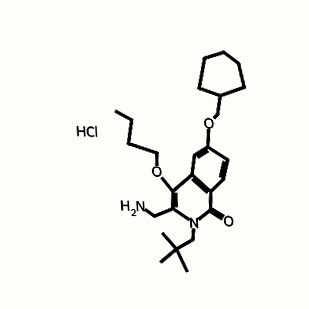 CCCCOc1c(CN)n(CC(C)(C)C)c(=O)c2ccc(OCC3CCCCC3)cc12.Cl